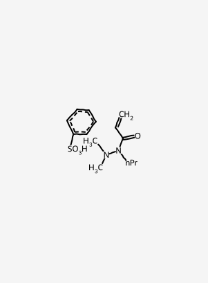 C=CC(=O)N(CCC)N(C)C.O=S(=O)(O)c1ccccc1